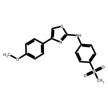 COc1ccc(-c2csc(Nc3ccc(S(C)(=O)=O)cc3)n2)cc1